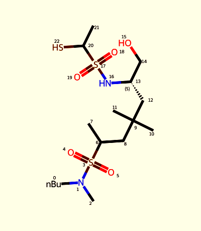 CCCCN(C)S(=O)(=O)C(C)CC(C)(C)C[C@@H](CO)NS(=O)(=O)C(C)S